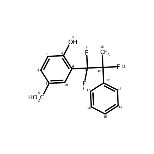 O=C(O)c1ccc(O)c(C(F)(F)C(F)(c2ccccc2)C(F)(F)F)c1